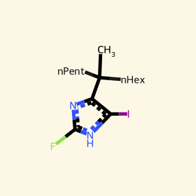 CCCCCCC(C)(CCCCC)c1nc(F)[nH]c1I